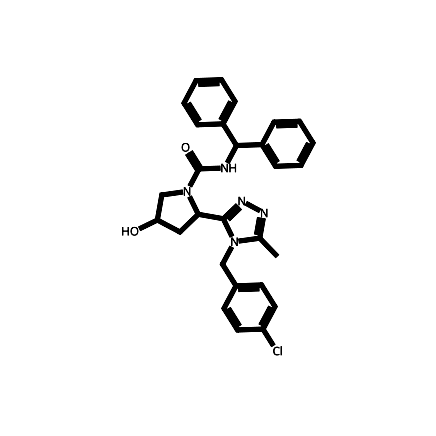 Cc1nnc(C2CC(O)CN2C(=O)NC(c2ccccc2)c2ccccc2)n1Cc1ccc(Cl)cc1